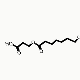 CCCCCCCC(=O)OCCC(=O)O